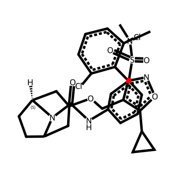 CN(C)S(=O)(=O)c1cccc(NC(=O)N2C3CC[C@H]2CC(OCc2c(-c4c(Cl)cccc4Cl)noc2C2CC2)C3)c1